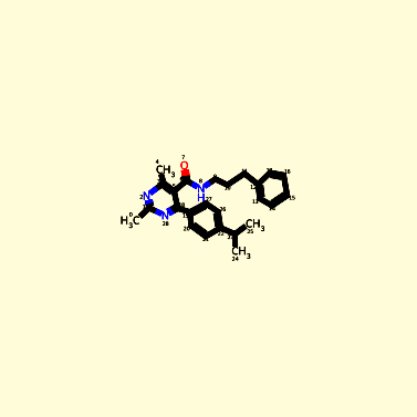 Cc1nc(C)c(C(=O)NCCCc2ccccc2)c(-c2ccc(C(C)C)cc2)n1